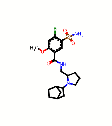 COc1cc(Br)c(S(N)(=O)=O)cc1C(=O)NCC1CCCN1C1CC2CCC1C2